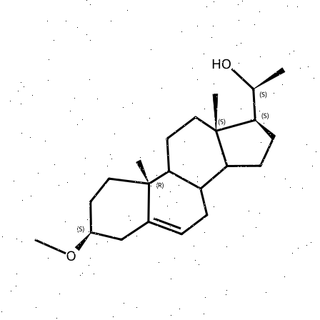 CO[C@H]1CC[C@@]2(C)C(=CCC3C2CC[C@@]2(C)C3CC[C@@H]2[C@H](C)O)C1